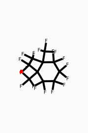 FC(F)(F)C1(C(F)(F)F)C(F)(F)C(F)(F)C(F)(F)C(F)(F)C1(C(F)(F)F)C(F)(F)F